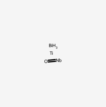 [BiH3].[O]=[Nb].[Ti]